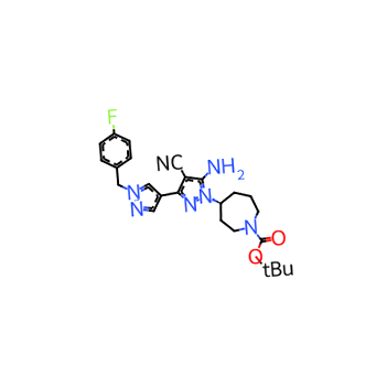 CC(C)(C)OC(=O)N1CCC[C@H](n2nc(-c3cnn(Cc4ccc(F)cc4)c3)c(C#N)c2N)CC1